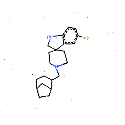 Fc1ccc2c(c1)C1(CCN(CC3CCC4CCC3C4)CC1)CN2